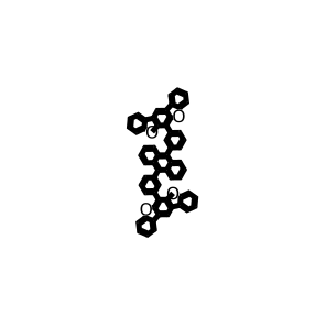 c1cc(-c2c3ccccc3c(-c3cccc(-c4c5oc6ccccc6c5cc5c4oc4ccccc45)c3)c3ccccc23)cc(-c2c3oc4ccccc4c3cc3c2oc2ccccc23)c1